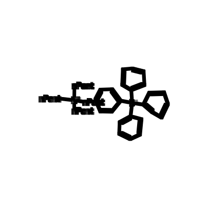 CCCCC[N+](CCCCC)(CCCCC)CCCCC.c1ccc([B-](c2ccccc2)(c2ccccc2)c2ccccc2)cc1